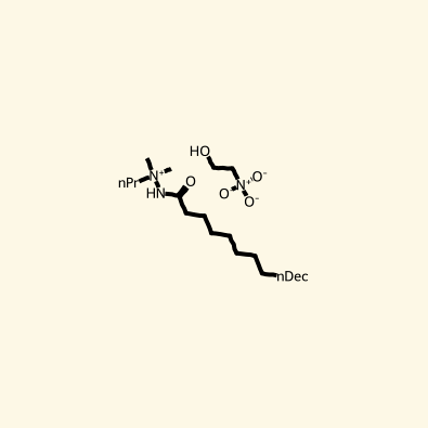 CCCCCCCCCCCCCCCCCC(=O)N[N+](C)(C)CCC.[O-][N+]([O-])([O-])CCO